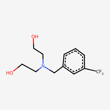 OCCN(CCO)Cc1cccc(C(F)(F)F)c1